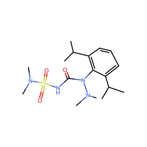 CC(C)c1cccc(C(C)C)c1N(C(=O)NS(=O)(=O)N(C)C)N(C)C